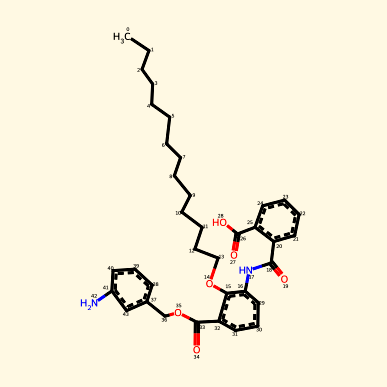 CCCCCCCCCCCCCCOc1c(NC(=O)c2ccccc2C(=O)O)cccc1C(=O)OCc1cccc(N)c1